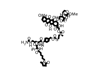 C=C1C=CC(=O)N1CCCCCC(=O)N[C@H](C(=O)N[C@@H](CCCNC(N)=O)C(=O)Nc1ccc(COC(=O)N(C)CCN(C)C(=O)OCC(=O)[C@]2(O)Cc3c(O)c4c(c(O)c3[C@@H](O[C@H]3C[C@H]5[C@H](O[C@@H]6[C@@H](OC)OCCN65)[C@H](C)O3)C2)C(=O)c2c(OC)cccc2C4=O)cc1)C(C)C